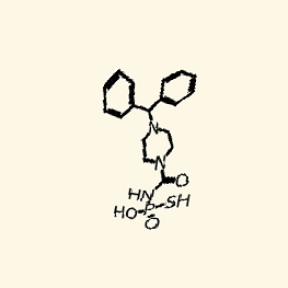 O=C(NP(=O)(O)S)N1CCN(C(c2ccccc2)c2ccccc2)CC1